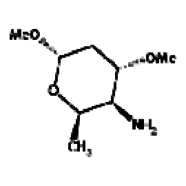 CO[C@@H]1C[C@H](OC)[C@@H](N)[C@@H](C)O1